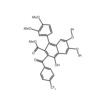 COC(=O)c1c(C(=O)c2ccc(C(F)(F)F)cc2)c(O)c2cc(OC(C)C)c(OC(C)C)cc2c1-c1ccc(OC)c(OC)c1